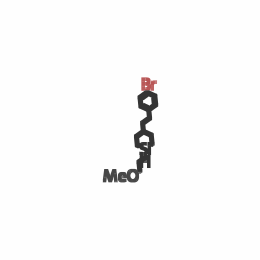 COCCC[SiH]1CCC(CCc2ccc(Br)cc2)CC1